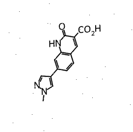 Cn1cc(-c2ccc3cc(C(=O)O)c(=O)[nH]c3c2)cn1